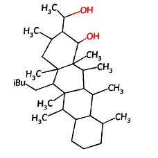 CCC(C)CC1C2(C)C(C)C3CCCC(C)C3C(C)C2C(C)C2(C)C(O)C(C(C)O)C(C)CC12C